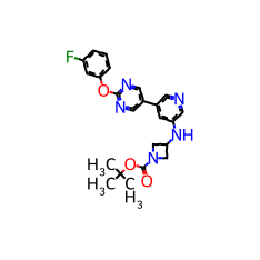 CC(C)(C)OC(=O)N1CC(Nc2cncc(-c3cnc(Oc4cccc(F)c4)nc3)c2)C1